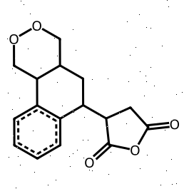 O=C1CC(C2CC3COOCC3c3ccccc32)C(=O)O1